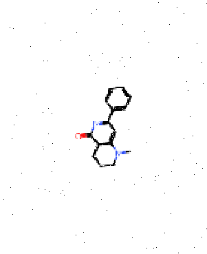 CN1CCCC2C(=O)N=C(c3ccccc3)C=C21